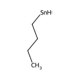 CCC[CH2][SnH]